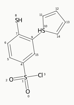 O=S(=O)(Cl)c1ccc(S)c([SH]2C=CC=C2)c1